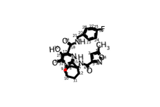 Cc1cc(C(=O)NC23CCC(CC2)Cn2c3nc(C(=O)NCc3ccc(F)cc3)c(O)c2=O)no1